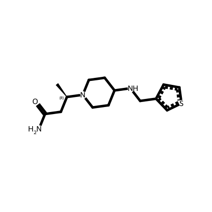 C[C@H](CC(N)=O)N1CCC(NCc2ccsc2)CC1